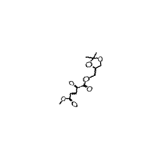 COC(=O)/C=C/C(=O)C(=O)OCC1COC(C)(C)O1